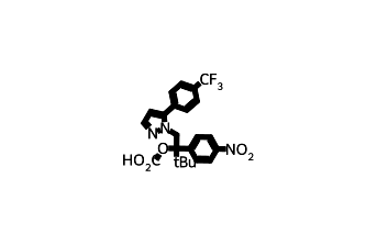 CC(C)(C)C(Cn1nccc1-c1ccc(C(F)(F)F)cc1)(OC(=O)O)c1ccc([N+](=O)[O-])cc1